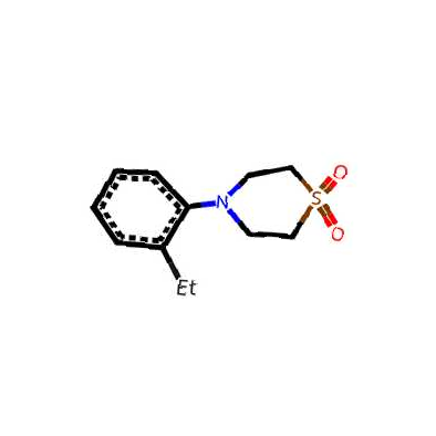 CCc1ccccc1N1CCS(=O)(=O)CC1